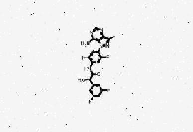 Cc1nn(-c2cc(F)c(NC(=O)[C@H](O)c3cc(F)cc(F)c3)cc2F)c2c(N)ncnc12